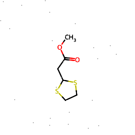 COC(=O)CC1SCCS1